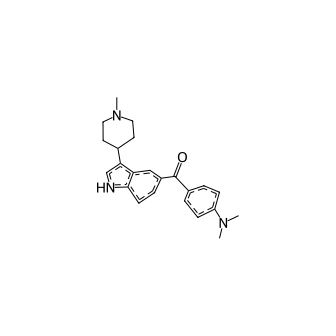 CN1CCC(c2c[nH]c3ccc(C(=O)c4ccc(N(C)C)cc4)cc23)CC1